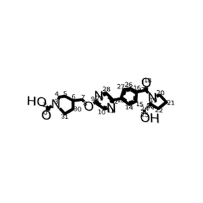 O=C(O)N1CCC(COc2cnc(-c3ccc(C(=O)N4CCC[C@@H]4CO)cc3)cn2)CC1